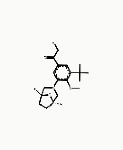 COc1c(N2C[C@H]3CC[C@@H](C2)O3)cc(C(=O)CBr)cc1C(C)(C)C